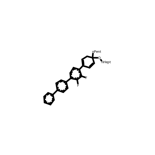 CCCCCCCOC1(CCCCC)C=CC(c2ccc(-c3ccc(-c4ccccc4)cc3)c(F)c2F)=CC1